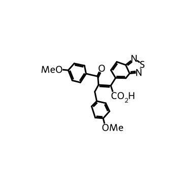 COc1ccc(C/C(C(=O)c2ccc(OC)cc2)=C(\C(=O)O)c2ccc3nsnc3c2)cc1